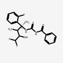 CC(C(O)C(F)F)[C@](C)(NC(=S)NC(=O)c1ccccc1)c1ccccc1F